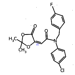 CC1(C)OC(=O)/C(=C\C(=O)N(Cc2ccc(F)cc2)c2ccc(Cl)cc2)O1